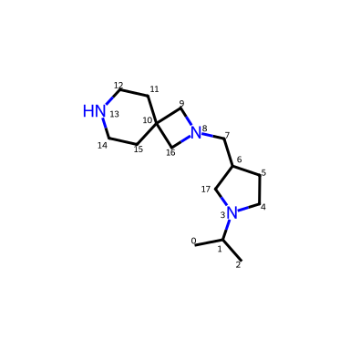 CC(C)N1CCC(CN2CC3(CCNCC3)C2)C1